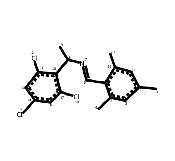 Cc1cc(C)c(C=NC(C)c2c(Cl)cc(Cl)cc2Cl)c(C)c1